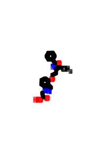 Cc1oc(-c2ccccc2)nc1CCOc1cccc2c1cnn2CC(=O)O